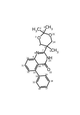 CC1(C)OCC(C)(c2nc3cccc(-c4ccccc4)c3c(=O)[nH]2)CO1